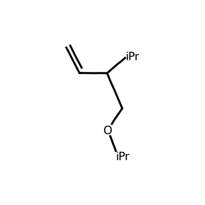 C=CC(COC(C)C)C(C)C